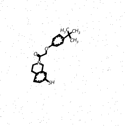 CC(C)(C)c1ccc(OCC(=O)N2CCc3ccc(S)cc3C2)cc1